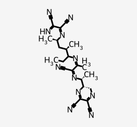 CCC(/N=C(C)\C(C#N)=N/[C@H](C)[C@@H]1CN=C(C#N)C(C#N)=N1)[C@H](C)C[C@@H](C)/N=C(/C#N)C(=N)C#N